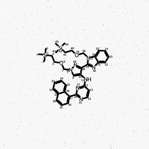 C[Si](C)(C)CCOCn1cc(Nc2ccnc(-c3cccc4ccccc34)n2)c(-c2nc3ccccc3n2COCC[Si](C)(C)C)n1